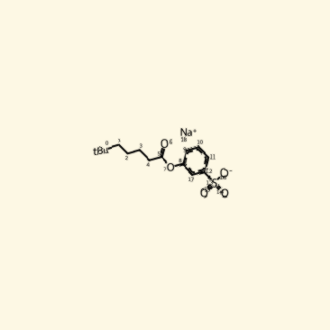 CC(C)(C)CCCCC(=O)Oc1cccc(S(=O)(=O)[O-])c1.[Na+]